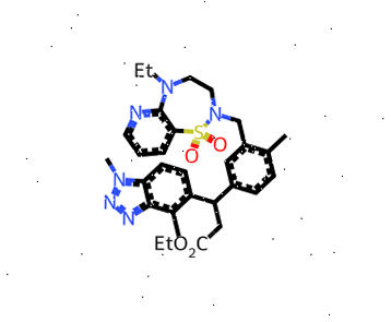 CCOC(=O)CC(c1ccc(C)c(CN2CCN(CC)c3ncccc3S2(=O)=O)c1)c1ccc2c(nnn2C)c1C